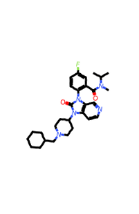 CC(C)N(C)C(=O)c1cc(F)ccc1-n1c(=O)n(C2CCN(CC3CCCCC3)CC2)c2ccncc21